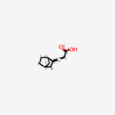 O=C(O)C=C=C1CC2CCC1C2